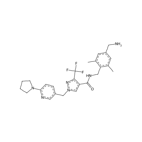 Cc1cc(CN)cc(C)c1CNC(=O)c1cn(Cc2ccc(N3CCCC3)nc2)nc1C(F)(F)F